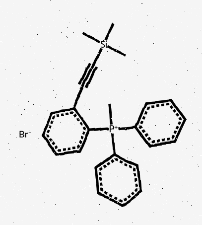 C[Si](C)(C)C#Cc1ccccc1[P+](C)(c1ccccc1)c1ccccc1.[Br-]